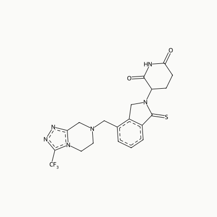 O=C1CCC(N2Cc3c(CN4CCn5c(nnc5C(F)(F)F)C4)cccc3C2=S)C(=O)N1